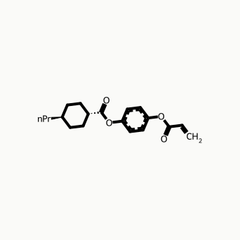 C=CC(=O)Oc1ccc(OC(=O)[C@H]2CC[C@H](CCC)CC2)cc1